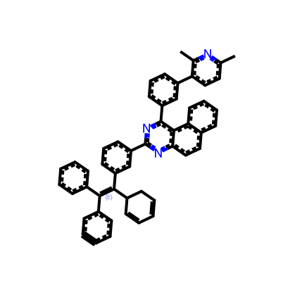 Cc1ccc(-c2cccc(-c3nc(-c4cccc(/C(=C(/c5cc#ccc5)c5ccccc5)C5C=CC=CC5)c4)nc4ccc5ccccc5c34)c2)c(C)n1